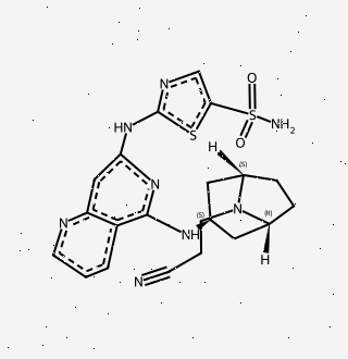 N#CCCN1[C@@H]2CC[C@H]1C[C@H](Nc1nc(Nc3ncc(S(N)(=O)=O)s3)cc3ncccc13)C2